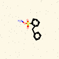 NOS(=O)(=O)c1ccccc1Cc1ccccc1